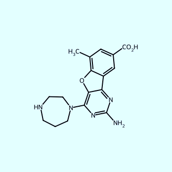 Cc1cc(C(=O)O)cc2c1oc1c(N3CCCNCC3)nc(N)nc12